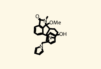 COC1(C2CCCN(CCn3cccc3)C2)c2c(cccc2-c2cccc(O)c2)C(=O)N1C